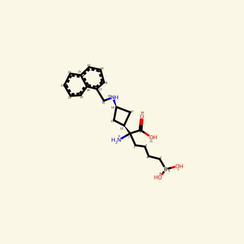 NC(CCCCB(O)O)(C(=O)O)[C@H]1C[C@@H](NCc2cccc3ccccc23)C1